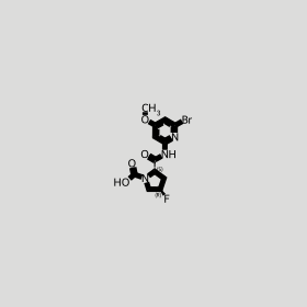 COc1cc(Br)nc(NC(=O)[C@@H]2C[C@@H](F)CN2C(=O)O)c1